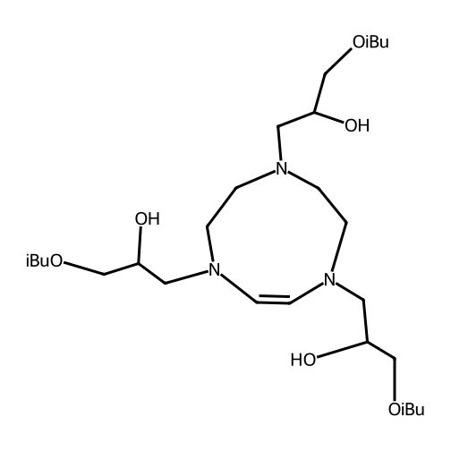 CC(C)COCC(O)CN1C=CN(CC(O)COCC(C)C)CCN(CC(O)COCC(C)C)CC1